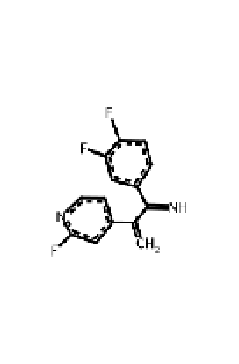 C=C(C(=N)c1ccc(F)c(F)c1)c1ccnc(F)c1